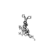 CCOC(=O)C(NC(=O)C(N)Cc1nc2cc(N(CCCl)CCCl)ccc2n1C)C(C)C